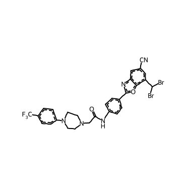 N#Cc1cc(C(Br)Br)c2oc(-c3ccc(NC(=O)CN4CCN(c5ccc(C(F)(F)F)cc5)CC4)cc3)nc2c1